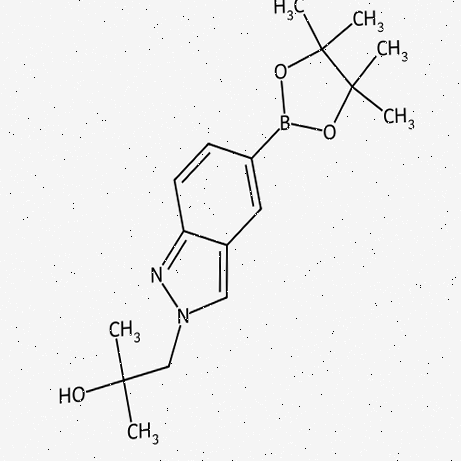 CC(C)(O)Cn1cc2cc(B3OC(C)(C)C(C)(C)O3)ccc2n1